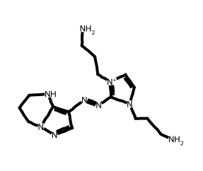 NCCCn1cc[n+](CCCN)c1/N=N/c1cnn2c1NCCC2